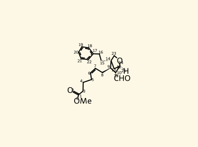 COC(=O)CCC/C=C\C[C@@H]1[C@@H](C=O)[C@H]2C[C@]1(CCc1ccccc1)CO2